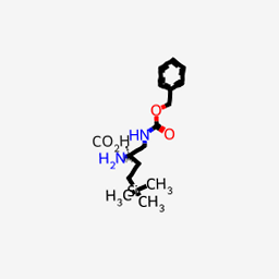 C[Si](C)(C)CC[C@@](N)(CNC(=O)OCc1ccccc1)C(=O)O